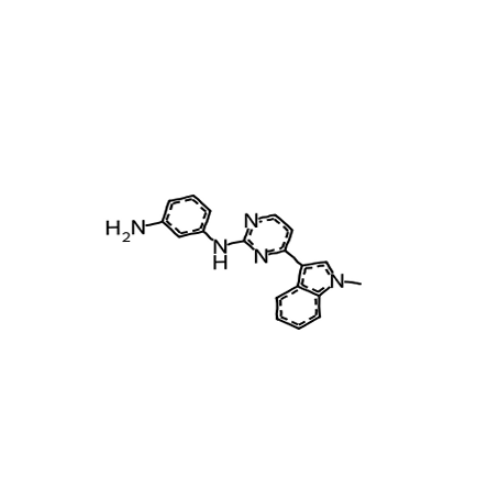 Cn1cc(-c2ccnc(Nc3cccc(N)c3)n2)c2ccccc21